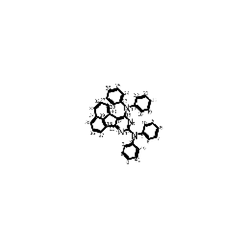 c1ccc(N(c2ccccc2)c2nc3c(c(N(c4ccccc4)c4ccccc4)n2)-c2cccc4cccc-3c24)cc1